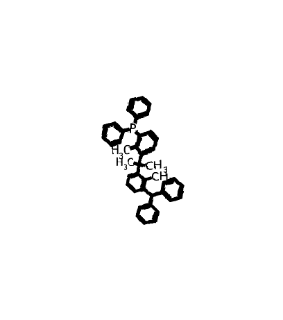 Cc1c(C(c2ccccc2)c2ccccc2)cccc1C(C)(C)c1cccc(P(c2ccccc2)c2ccccc2)c1C